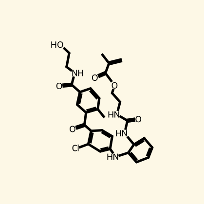 C=C(C)C(=O)OCCNC(=O)Nc1ccccc1Nc1ccc(C(=O)c2cc(C(=O)NCCO)ccc2C)c(Cl)c1